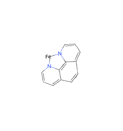 C1=C[N]2[Fe][N]3C=CC=c4ccc(c2c43)=C1